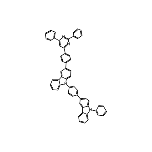 c1ccc(-c2cc(-c3ccc(-c4ccc5c(c4)c4ccccc4n5-c4ccc(-c5ccc6c(c5)c5ccccc5n6-c5ccccc5)cc4)cc3)nc(-c3ccccc3)n2)cc1